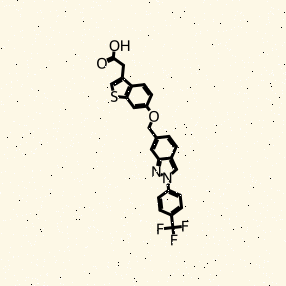 O=C(O)Cc1csc2cc(OCc3ccc4cn(-c5ccc(C(F)(F)F)cc5)nc4c3)ccc12